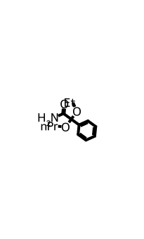 CCCOC(OCC)(C(N)=O)c1ccccc1